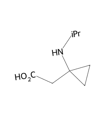 CC(C)NC1(CC(=O)O)CC1